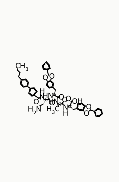 CCCCc1ccc(-c2ccc(C(=O)N[C@@H](CCN)C(=O)N[C@@H](Cc3ccc4c(c3)OC(c3ccccc3)O4)C(=O)N[C@@H](C)C(=O)N[C@@H](Cc3ccc4c(c3)OC(c3ccccc3)O4)C(=O)O)cc2)cc1